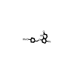 COc1ccc(COc2ccc(C(C)=O)c3ccc(=O)[nH]c23)cc1